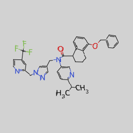 CC(C)c1ccc(N(Cc2cnn(Cc3cc(C(F)(F)F)ccn3)c2)C(=O)C2CCCc3c(OCc4ccccc4)cccc32)cn1